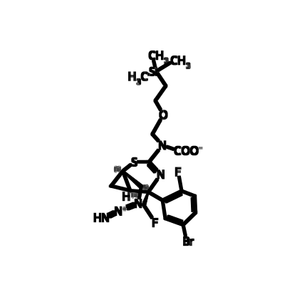 C[Si](C)(C)CCOCN(C(=O)[O-])C1=N[C@](CF)(c2cc(Br)ccc2F)[C@@H]2C[C@]2(CN=[N+]=N)S1